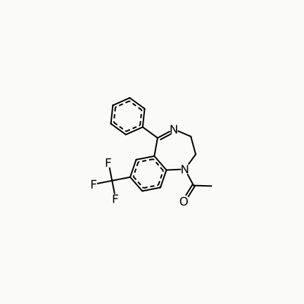 CC(=O)N1CCN=C(c2ccccc2)c2cc(C(F)(F)F)ccc21